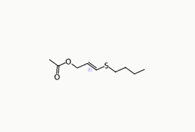 CCCCS/C=C/COC(C)=O